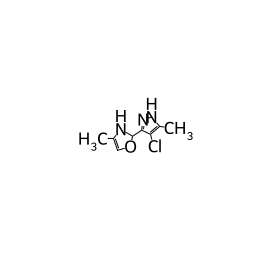 CC1=COC(c2n[nH]c(C)c2Cl)N1